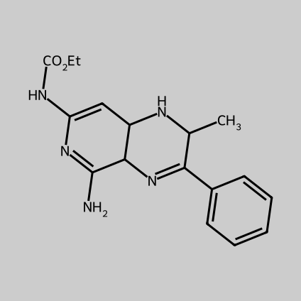 CCOC(=O)NC1=CC2NC(C)C(c3ccccc3)=NC2C(N)=N1